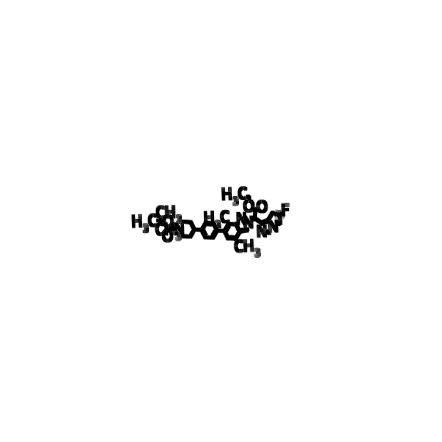 CCOC(=O)C(c1ncn2c1C[C@@H](F)C2)n1cc2c(C)cc(-c3ccc(C4CCN(C(=O)OC(C)(C)C)CC4)cc3)c(C)c2n1